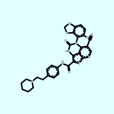 N#Cc1cnc2sc(C(=O)Nc3ccc(CCN4CCCCC4)cc3)c3c2c1N(c1c(Cl)ccc2c1OCO2)C(=O)N3